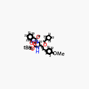 COc1ccc(CC(OCC2CCCC2)C(CNC(=O)c2ccccc2O)NC(=O)OC(C)(C)C)cc1